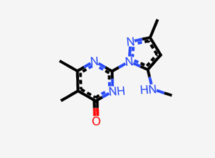 CNc1cc(C)nn1-c1nc(C)c(C)c(=O)[nH]1